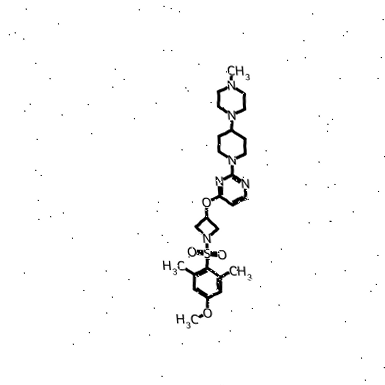 COc1cc(C)c(S(=O)(=O)N2CC(Oc3ccnc(N4CCC(N5CCN(C)CC5)CC4)n3)C2)c(C)c1